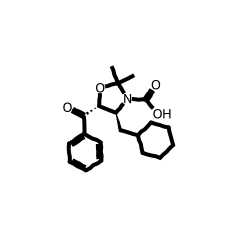 CC1(C)O[C@@H](C(=O)c2ccccc2)[C@H](CC2CCCCC2)N1C(=O)O